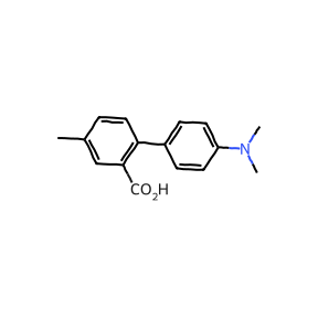 Cc1ccc(-c2ccc(N(C)C)cc2)c(C(=O)O)c1